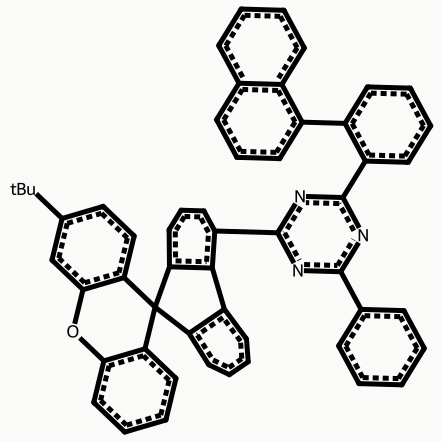 CC(C)(C)c1ccc2c(c1)Oc1ccccc1C21c2ccccc2-c2c(-c3nc(-c4ccccc4)nc(-c4ccccc4-c4cccc5ccccc45)n3)cccc21